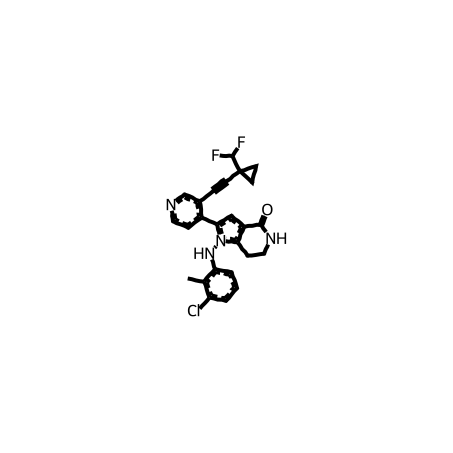 Cc1c(Cl)cccc1Nn1c(-c2ccncc2C#CC2(C(F)F)CC2)cc2c1CCNC2=O